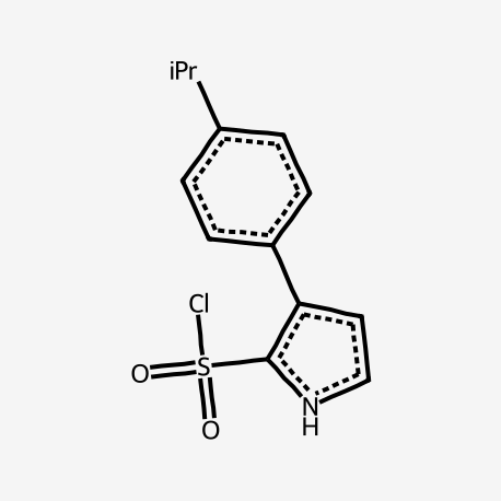 CC(C)c1ccc(-c2cc[nH]c2S(=O)(=O)Cl)cc1